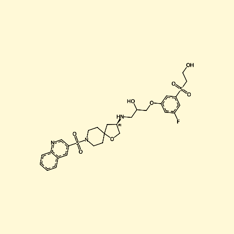 O=S(=O)(CCO)c1cc(F)cc(OCC(O)CN[C@H]2COC3(CCN(S(=O)(=O)c4cnc5ccccc5c4)CC3)C2)c1